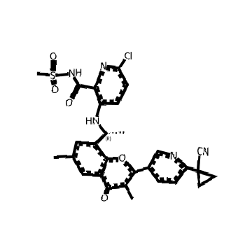 Cc1cc([C@@H](C)Nc2ccc(Cl)nc2C(=O)NS(C)(=O)=O)c2oc(-c3ccc(C4(C#N)CC4)nc3)c(C)c(=O)c2c1